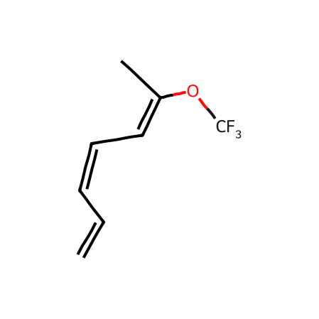 C=C/C=C\C=C(/C)OC(F)(F)F